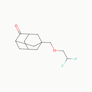 O=C1C2CC3CC1CC(COCC(F)F)(C3)C2